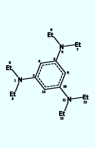 CCN(CC)c1cc(N(CC)CC)cc(N(CC)CC)c1